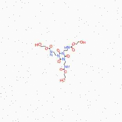 O=C(NCCn1c(=O)n(CCNC(=O)OCCO)c(=O)n(CCNC(=O)OCCO)c1=O)OCCO